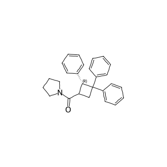 O=C(C1CC(c2ccccc2)(c2ccccc2)[C@H]1c1ccccc1)N1CCCC1